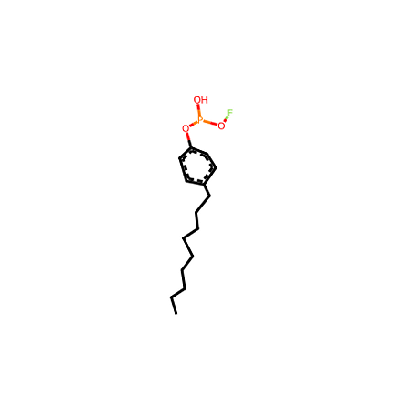 CCCCCCCCCc1ccc(OP(O)OF)cc1